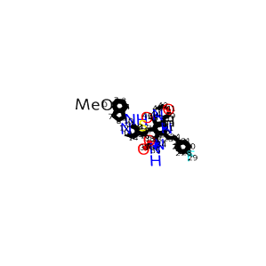 COc1cccc2c1CC[C@H]2Nc1nccc2cc(-c3c4c(nc(CCc5ccc(F)cc5)c3-c3n[nH]c(=O)o3)[C@H]3COCCN3C4=O)sc12